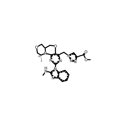 CNc1nc2ccccc2n1-c1nc(Cn2cc(C(=O)OC)nn2)c2c(n1)N1C(COC[C@H]1C)CO2